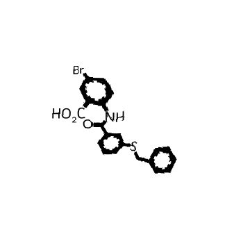 O=C(Nc1ccc(Br)cc1C(=O)O)c1cccc(SCc2ccccc2)c1